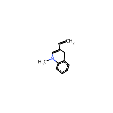 C=CC1=CN(C)c2ccccc2C1